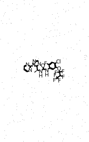 C[C@H](NC(=O)Nc1cc(OC(F)(F)C(F)C(F)(F)F)c(Cl)cc1F)c1ncnn1-c1ncccn1